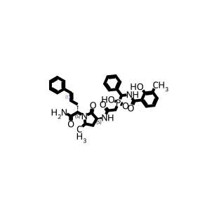 Cc1cccc(C(=O)NC(c2ccccc2)P(=O)(O)CC(=O)N[C@H]2CC(C)N([C@@H](C/C=C/c3ccccc3)C(N)=O)C2=O)c1O